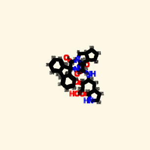 CC(=O)NC1(C(=O)N2CC3CCCC3C2C(=O)NC(CC2CCNC2=O)C(=O)CO)c2ccccc2-c2ccccc21